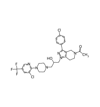 CC(=O)N1CCc2c(c(-c3ccc(Cl)cc3)nn2CC(O)CN2CCN(c3ncc(C(F)(F)F)cc3Cl)CC2)C1